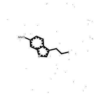 COc1ccc2c(CCI)coc2c1